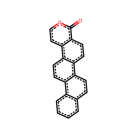 O=c1occc2c1ccc1c2ccc2c3ccccc3ccc21